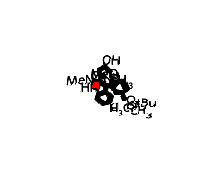 CNC(=O)[C@@H]1C[C@@H](O)C[N+]1(C)C1(c2cc(CO[Si](C)(C)C(C)(C)C)ccc2OC)C(=O)Nc2ccc(Cl)cc21